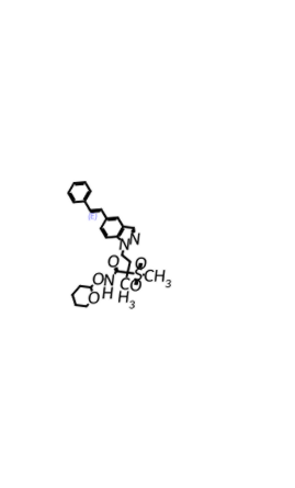 CC(CCn1ncc2cc(/C=C/c3ccccc3)ccc21)(C(=O)NOC1CCCCO1)S(C)(=O)=O